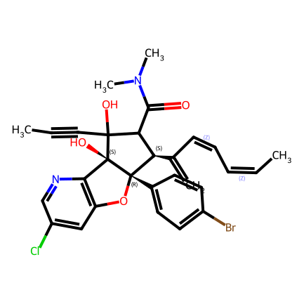 C=C(/C=C\C=C/C)[C@@H]1C(C(=O)N(C)C)C(O)(C#CC)[C@@]2(O)c3ncc(Cl)cc3O[C@@]12c1ccc(Br)cc1